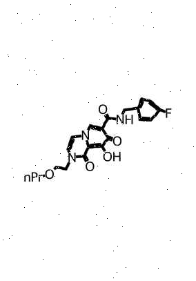 CCCOCCn1ccn2cc(C(=O)NCc3ccc(F)cc3)c(=O)c(O)c2c1=O